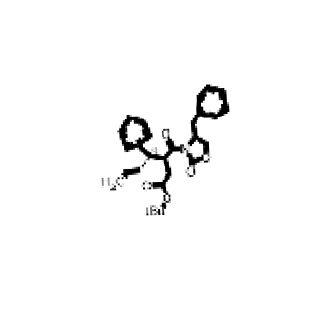 C=CC[C@H](c1ccccc1)C(CC(=O)OC(C)(C)C)C(=O)N1C(=O)OCC1Cc1ccccc1